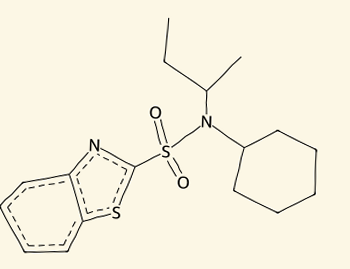 CCC(C)N(C1CCCCC1)S(=O)(=O)c1nc2ccccc2s1